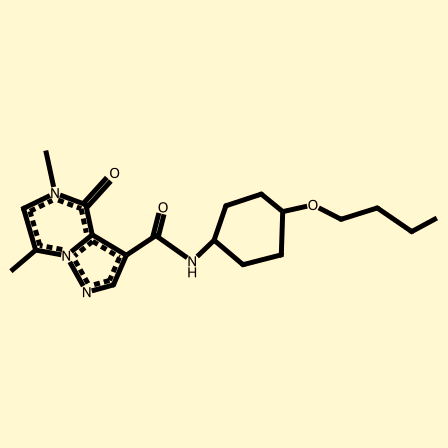 CCCCOC1CCC(NC(=O)c2cnn3c(C)cn(C)c(=O)c23)CC1